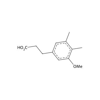 COc1cc(CCC(=O)O)cc(C)c1C